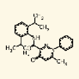 Cc1cc(=O)c(C(=O)Nc2c(C(C)C)cccc2C(C)C)nn1-c1ccccc1